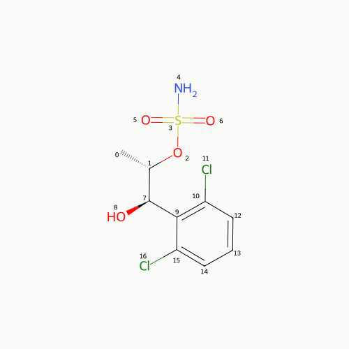 C[C@H](OS(N)(=O)=O)[C@H](O)c1c(Cl)cccc1Cl